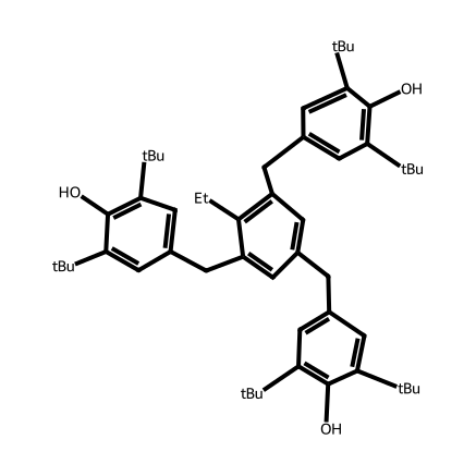 CCc1c(Cc2cc(C(C)(C)C)c(O)c(C(C)(C)C)c2)cc(Cc2cc(C(C)(C)C)c(O)c(C(C)(C)C)c2)cc1Cc1cc(C(C)(C)C)c(O)c(C(C)(C)C)c1